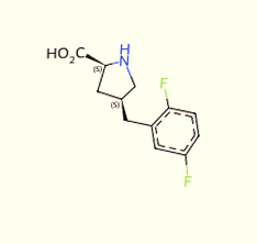 O=C(O)[C@@H]1C[C@H](Cc2cc(F)ccc2F)CN1